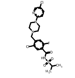 CC(C)S(=O)(=O)NC(=O)c1cc(Cl)c(CN2CCN(c3ccc(Cl)cn3)CC2)cc1F